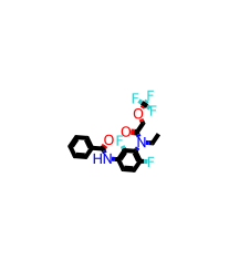 CCN(C(=O)COC(F)(F)F)c1c(F)ccc(NC(=O)c2ccccc2)c1F